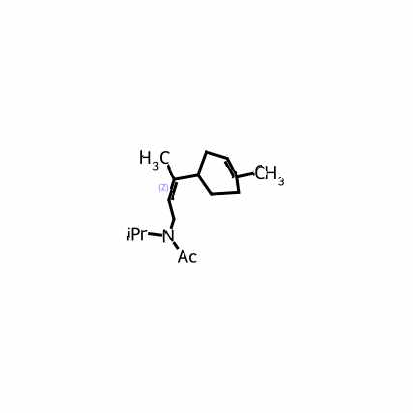 CC(=O)N(C/C=C(/C)C1CC=C(C)CC1)C(C)C